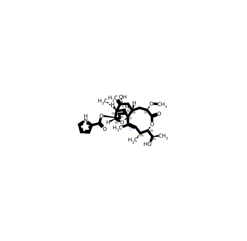 C=C1C[C@@H]2C[C@H](OC)C(=O)O[C@H]([C@@H](C)O)[C@H](C)/C=C(\C)[C@]23O[C@H]2[C@H](OC(=O)c4ccc[nH]4)[C@H](C)[C@@H](O)[C@@H]3[C@@H]12